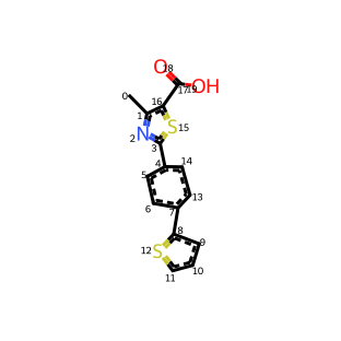 Cc1nc(-c2ccc(-c3cccs3)cc2)sc1C(=O)O